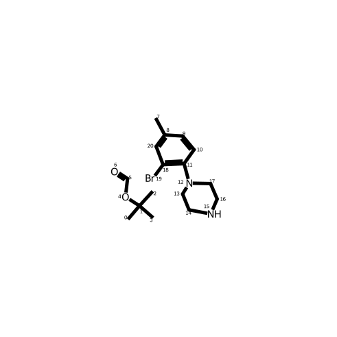 CC(C)(C)OC=O.Cc1ccc(N2CCNCC2)c(Br)c1